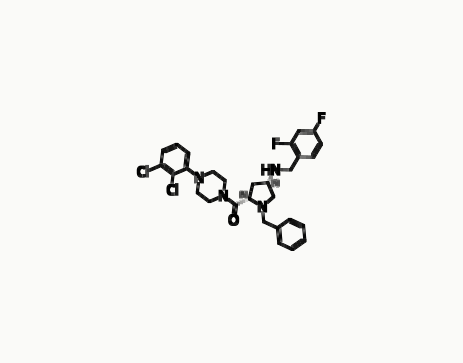 O=C([C@@H]1C[C@H](NCc2ccc(F)cc2F)CN1Cc1ccccc1)N1CCN(c2cccc(Cl)c2Cl)CC1